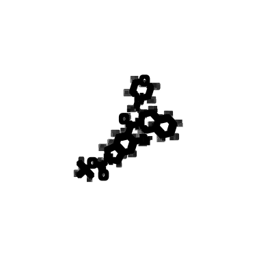 CC(C)(C)OC(=O)N1Cc2cc(Br)c(C(=O)N3Cc4ccccc4C[C@H]3CN3CCOCC3)cc2C1